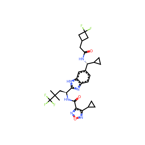 CC(C)(C[C@H](NC(=O)c1nonc1C1CC1)c1nc2ccc([C@H](NC(=O)CC3CC(F)(F)C3)C3CC3)cc2[nH]1)C(F)(F)F